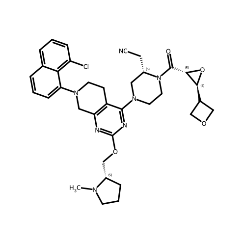 CN1CCC[C@H]1COc1nc2c(c(N3CCN(C(=O)[C@@H]4O[C@H]4C4COC4)[C@@H](CC#N)C3)n1)CCN(c1cccc3cccc(Cl)c13)C2